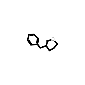 [C]1OCCCC1Cc1ccccc1